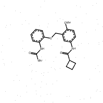 COc1ccc(NC(=O)C2CCC2)cc1CSc1ccccc1NC(=O)C(C)(C)C